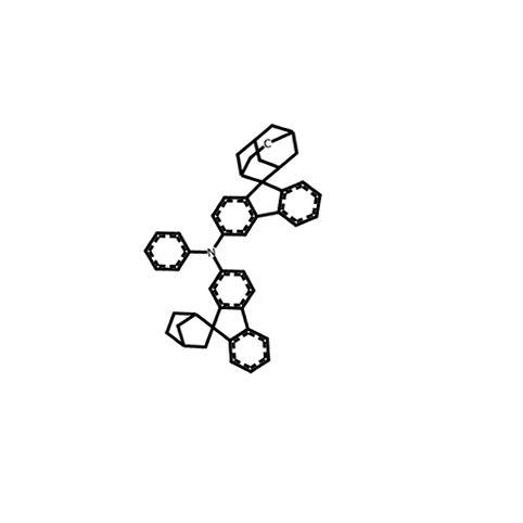 c1ccc(N(c2ccc3c(c2)-c2ccccc2C32C3CCC4CC(C3)CC2C4)c2ccc3c(c2)C2(CC4CCC2C4)c2ccccc2-3)cc1